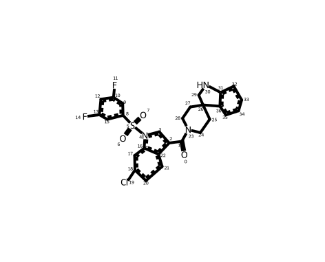 O=C(c1cn(S(=O)(=O)c2cc(F)cc(F)c2)c2cc(Cl)ccc12)N1CCC2(CC1)CNc1ccccc12